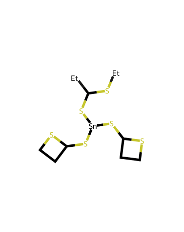 CCSC(CC)[S][Sn]([S]C1CCS1)[S]C1CCS1